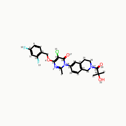 Cc1nc(OCc2ccc(F)cc2F)c(Cl)c(=O)n1-c1ccc2c(c1)CCN(C(=O)C(C)(C)O)C2